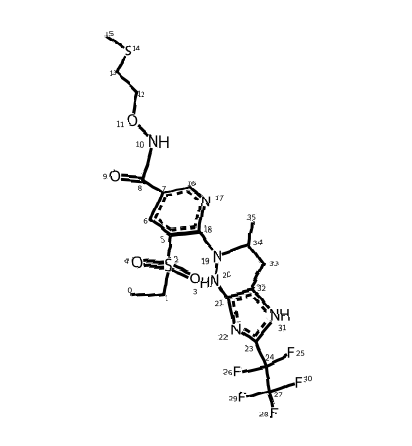 CCS(=O)(=O)c1cc(C(=O)NOCCSC)cnc1N1Nc2nc(C(F)(F)C(F)(F)F)[nH]c2CC1C